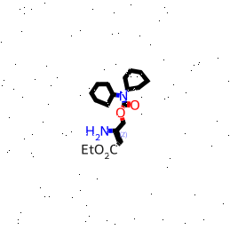 CCOC(=O)/C=C(\N)COC(=O)N(C1CCCCC1)C1CCCCC1